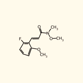 COc1cccc(F)c1/C=C/C(=O)N(C)OC